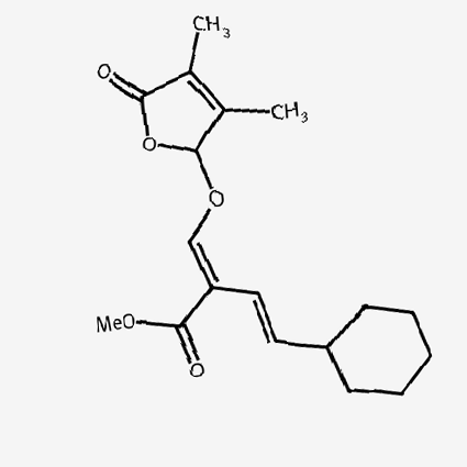 COC(=O)C(/C=C/C1CCCCC1)=C/OC1OC(=O)C(C)=C1C